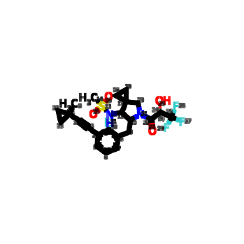 CC1(C#Cc2cccc(CC3C(NS(C)(=O)=O)C4(CC4)CN3C(=O)[C@H](O)C(F)(F)F)c2F)CC1